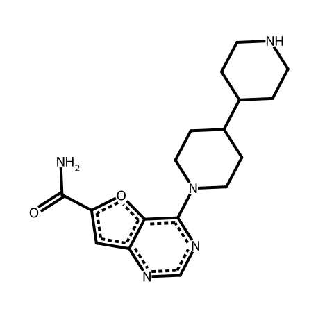 NC(=O)c1cc2ncnc(N3CCC(C4CCNCC4)CC3)c2o1